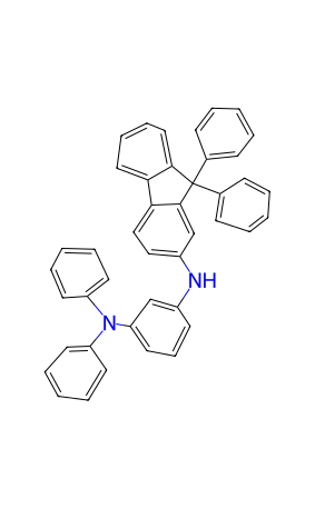 c1ccc(N(c2ccccc2)c2cccc(Nc3ccc4c(c3)C(c3ccccc3)(c3ccccc3)c3ccccc3-4)c2)cc1